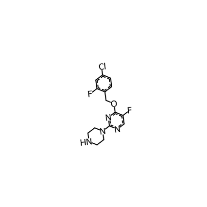 Fc1cc(Cl)ccc1COc1nc(N2CCNCC2)ncc1F